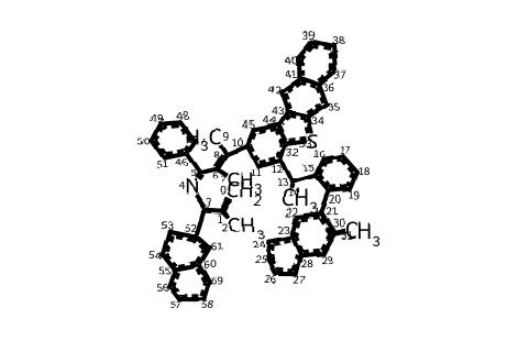 C=C(C)C(/N=C(\C(C)=C(/C)c1cc(C(C)c2ccccc2-c2cc3ccccc3cc2C)c2sc3cc4ccccc4cc3c2c1)c1ccccc1)c1ccc2ccccc2c1